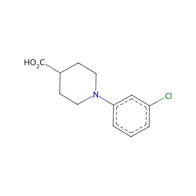 O=C(O)C1CCN(c2cccc(Cl)c2)CC1